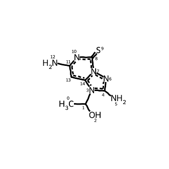 CC(O)n1c(N)nn2c(=S)nc(N)cc12